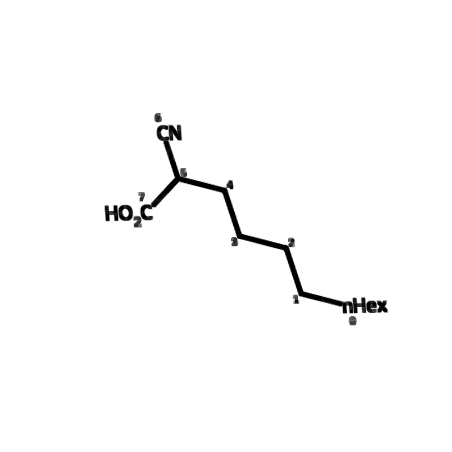 CCCCCCCCCCC(C#N)C(=O)O